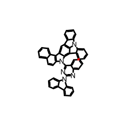 c1ccc2c(c1)ccc1c2c2cc3c4ccccc4n4c5ccccc5c(c2n1-c1nc(-n2c5ccccc5c5ccccc52)nc2ccccc12)c34